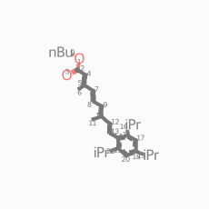 CCCCOC(=O)/C=C(C)/C=C/C=C(C)/C=C/c1c(C(C)C)cc(C(C)C)cc1C(C)C